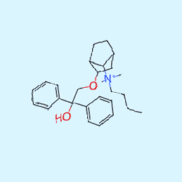 CCCC[N+](C)(C)C1C2CCC1C(OCC(O)(c1ccccc1)c1ccccc1)C2